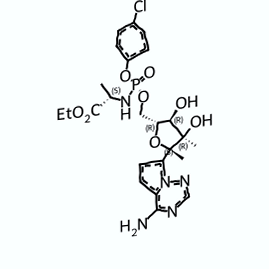 CCOC(=O)[C@H](C)NP(=O)(OC[C@H]1O[C@@](C)(c2ccc3c(N)ncnn23)[C@](C)(O)[C@@H]1O)Oc1ccc(Cl)cc1